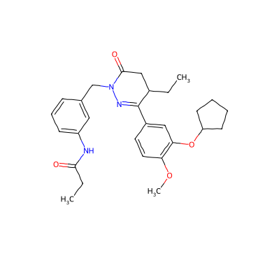 CCC(=O)Nc1cccc(CN2N=C(c3ccc(OC)c(OC4CCCC4)c3)C(CC)CC2=O)c1